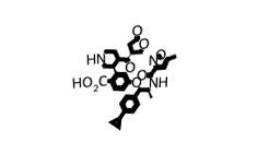 Cc1cc(C(=O)N[C@@H](C)[C@H](Oc2ccc(C(=O)O)c([C@H]3CNCCC3C(=O)[C@H]3COC(=O)C3)c2)c2ccc(C3CC3)cc2)no1